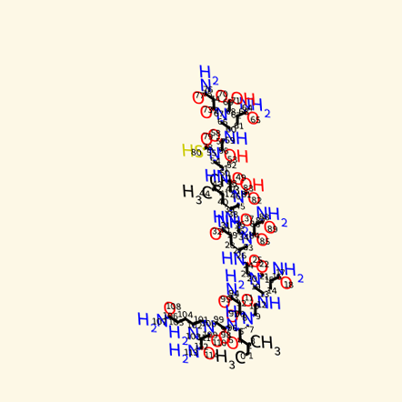 CCC(C)C(=O)[C@@H](CN(CC(=O)N[C@@H](CCC(N)=O)CN(C=O)CC(=O)N[C@@H](CCC(N)=O)CN(CC(=O)N[C@@H](CCC(C)C)CN(CC(=O)N[C@@H](CO)CN(CC(=O)N[C@@H](CCC(N)=O)CN(CC(=O)O)C(=O)CC(N)=O)C(=O)S)C(=O)O)C(=O)CC(N)=O)C(=O)CC(N)=O)NC(=O)CN(C[C@@H](N)CCC(N)=O)C(=O)CC(N)=O